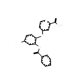 CNC(=O)c1cc(Oc2ccc(C(F)(F)F)cc2NC(=O)c2ccccc2)ccn1